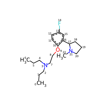 CCCN(CCC)CCOc1ccc(F)cc1C1CCCN1C